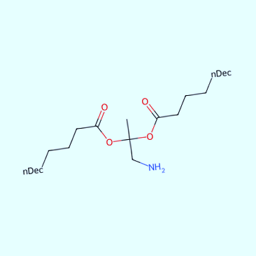 CCCCCCCCCCCCCC(=O)OC(C)(CN)OC(=O)CCCCCCCCCCCCC